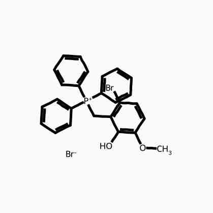 COc1ccc(Br)c(C[P+](c2ccccc2)(c2ccccc2)c2ccccc2)c1O.[Br-]